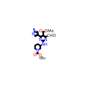 COC(=O)c1c(C=O)nc(NC2CCCN(C(=O)OC(C)(C)C)C2)nc1-c1cnn(C)c1